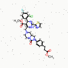 COC(=O)CCc1ccc(N2CC3CN(CC4=C(C(=O)OC)C(c5ccc(F)cc5Cl)N=C(c5nccs5)N4)CCN3C2=O)cc1